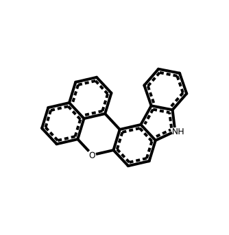 c1cc2c3c(cccc3c1)-c1c(ccc3[nH]c4ccccc4c13)O2